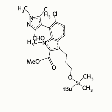 COC(=O)c1c(CCCO[Si](C)(C)C(C)(C)C)c2ccc(Cl)c(-c3c(C=O)nn(C)c3C)c2n1C